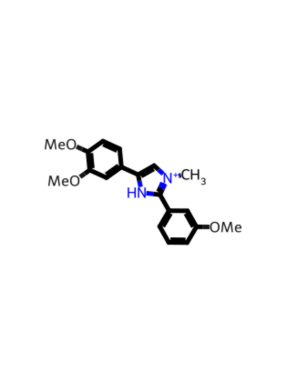 COc1cccc(-c2[nH]c(-c3ccc(OC)c(OC)c3)c[n+]2C)c1